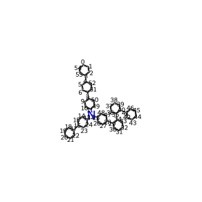 c1ccc(-c2ccc(-c3ccc(N(c4ccc(-c5ccccc5)cc4)c4ccc(-c5ccccc5-c5ccccc5-c5ccccc5)cc4)cc3)cc2)cc1